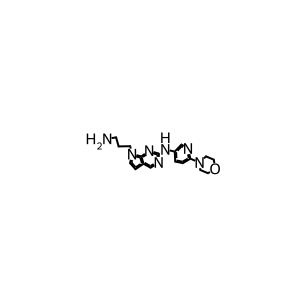 NCCCn1ccc2cnc(Nc3ccc(N4CCOCC4)nc3)nc21